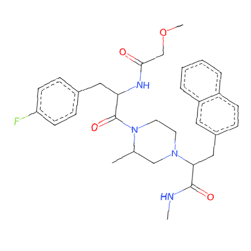 CNC(=O)C(Cc1ccc2ccccc2c1)N1CCN(C(=O)C(Cc2ccc(F)cc2)NC(=O)COC)C(C)C1